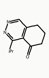 CC(C)c1nncc2c1C(=O)CCC2